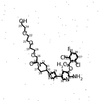 C[C@@H](Oc1cc(-c2cnn(C3CCN(C(=O)COCCOCCOCCO)CC3)c2)cnc1N)c1c(Cl)ccc(F)c1Cl